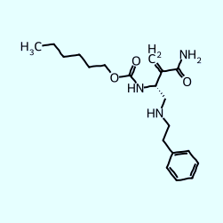 C=C(C(N)=O)[C@H](CNCCc1ccccc1)NC(=O)OCCCCCC